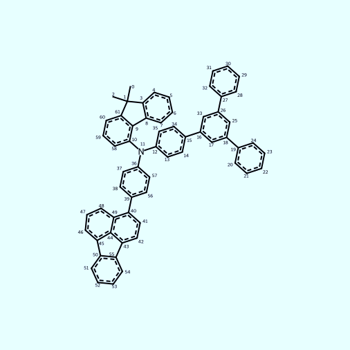 CC1(C)c2ccccc2-c2c(N(c3ccc(-c4cc(-c5ccccc5)cc(-c5ccccc5)c4)cc3)c3ccc(-c4ccc5c6c(cccc46)-c4ccccc4-5)cc3)cccc21